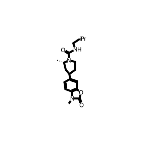 CC(C)CNC(=O)N1CCC(c2ccc3c(c2)oc(=O)n3C)C[C@@H]1C